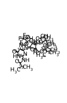 CC(C)C(=O)Nc1nc2c(ncn2[C@@H]2O[C@@H]3CO[Si](C(C)C)(C(C)C)O[Si](C(C)C)(C(C)C)O[C@H]3[C@H]2OS(=O)(=O)C(F)(F)F)c(=O)[nH]1